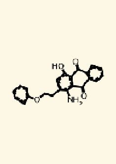 Nc1c(CCOc2ccccc2)cc(O)c2c1C(=O)c1ccccc1C2=O